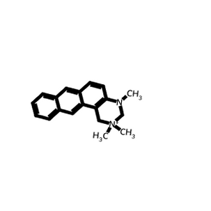 CN1C[N+](C)(C)Cc2c1ccc1cc3ccccc3cc21